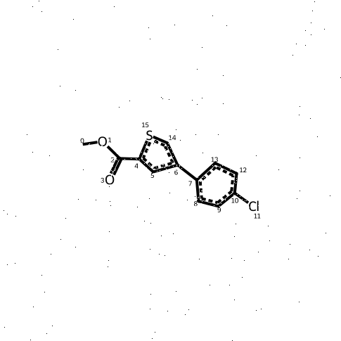 COC(=O)c1cc(-c2ccc(Cl)cc2)cs1